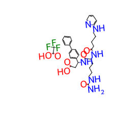 NC(=O)NCCCC[C@H](NC(=O)CCCCNc1ccccn1)C(=O)NC(CC(=O)O)c1ccc(-c2ccccc2)cc1.O=C(O)C(F)(F)F